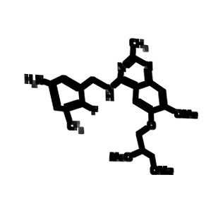 COCC(COc1cc2c(NCc3cc(N)cc(C(F)(F)F)c3F)nc(C)nc2cc1OC)OC